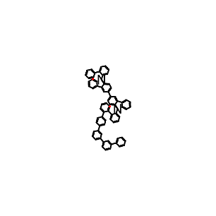 c1ccc(-c2cccc(-c3cccc(-c4ccc(-c5ccccc5-c5ccccc5-n5c6ccccc6c6cc(-c7ccc8c(c7)c7ccccc7n8-c7ccccc7-c7ccccc7)ccc65)cc4)c3)c2)cc1